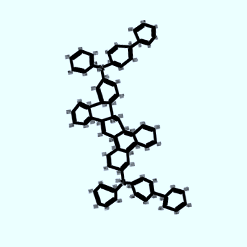 c1ccc(-c2ccc(N(c3ccccc3)c3ccc4c(c3)c3ccccc3c3cc5c6ccc(N(c7ccccc7)c7ccc(-c8ccccc8)cc7)cc6c6ccccc6c5cc43)cc2)cc1